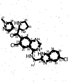 C[C@H](Nc1ncnc2cc(C(=O)[C@@]3(c4cnn(C)c4)NCCS3)c(Cl)cc12)c1nc2cc(Cl)ccc2[nH]1